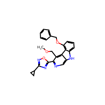 COCc1c(-c2nc(C3CC3)no2)ncc2[nH]c3cccc(OCc4ccccc4)c3c12